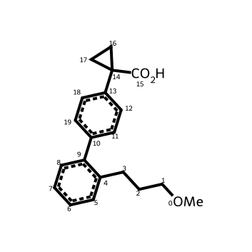 COCCCc1ccccc1-c1ccc(C2(C(=O)O)CC2)cc1